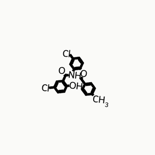 Cc1ccc(COc2ccc(Cl)cc2NC(=O)c2cc(Cl)ccc2O)cc1